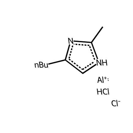 CCCCc1c[nH]c(C)n1.Cl.[Al+].[Cl-]